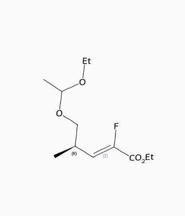 CCOC(=O)/C(F)=C/[C@@H](C)COC(C)OCC